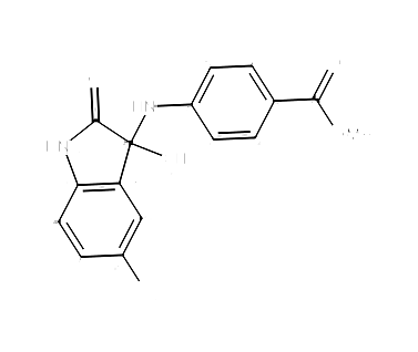 COC(=O)c1ccc(NC2(C)C(=O)Nc3ccc(F)cc32)cc1